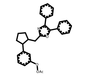 CC(=O)OOc1cccc(C2CCCC2Cc2nc(-c3ccccc3)c(-c3ccccc3)o2)c1